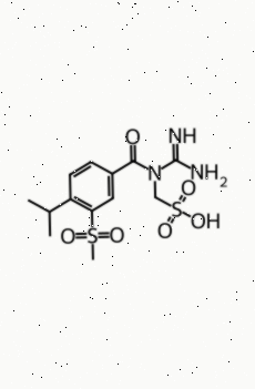 CC(C)c1ccc(C(=O)N(CS(=O)(=O)O)C(=N)N)cc1S(C)(=O)=O